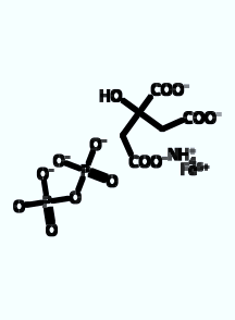 O=C([O-])CC(O)(CC(=O)[O-])C(=O)[O-].O=P([O-])([O-])OP(=O)([O-])[O-].[Fe+6].[NH4+]